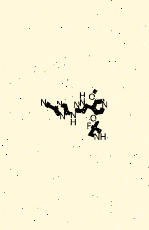 COc1cncc(OCC2(F)CNC2)c1-c1cc(Nc2cnc(C#N)cn2)n[nH]1